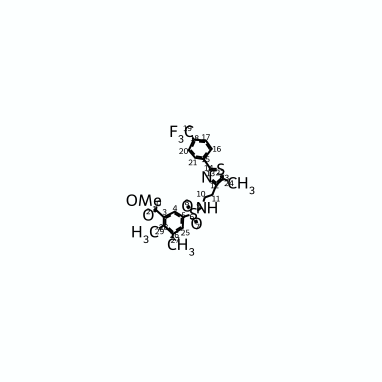 COC(=O)c1cc(S(=O)(=O)NCCc2nc(-c3ccc(C(F)(F)F)cc3)sc2C)cc(C)c1C